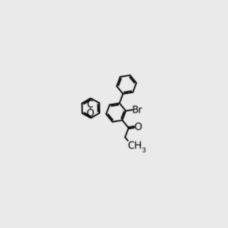 CCC(=O)c1cccc(-c2ccccc2)c1Br.c1cc2ccc1CO2